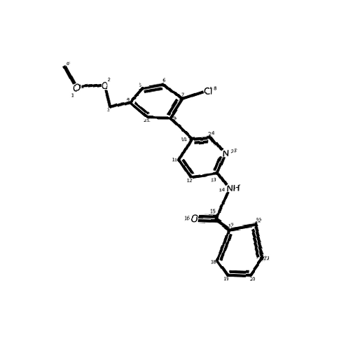 COOCc1ccc(Cl)c(-c2ccc(NC(=O)c3ccccc3)nc2)c1